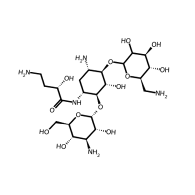 NCC[C@H](O)C(=O)N[C@@H]1C[C@H](N)[C@@H](OC2O[C@H](CN)[C@@H](O)[C@H](O)C2O)[C@H](O)[C@H]1O[C@H]1O[C@H](CO)[C@@H](O)[C@H](N)[C@H]1O